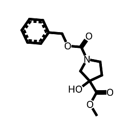 COC(=O)C1(O)CCN(C(=O)OCc2ccccc2)C1